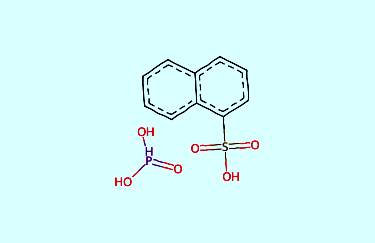 O=S(=O)(O)c1cccc2ccccc12.O=[PH](O)O